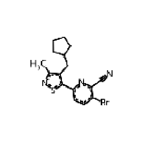 Cc1nsc(-c2ccc(Br)c(C#N)n2)c1C[C]1CCCC1